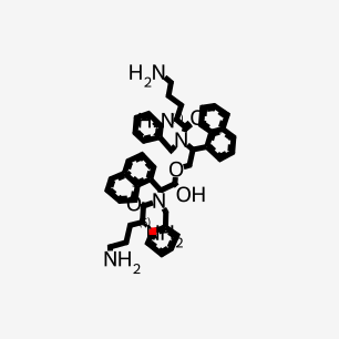 NCCC[C@H](N)C(=O)N(Cc1ccccc1)C(COC(O)C(c1cccc2ccccc12)N(Cc1ccccc1)C(=O)[C@@H](N)CCCN)c1cccc2ccccc12